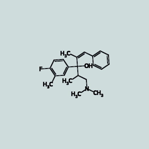 CC(=Cc1ccccc1)C(O)(c1ccc(F)c(C)c1)C(C)CN(C)C